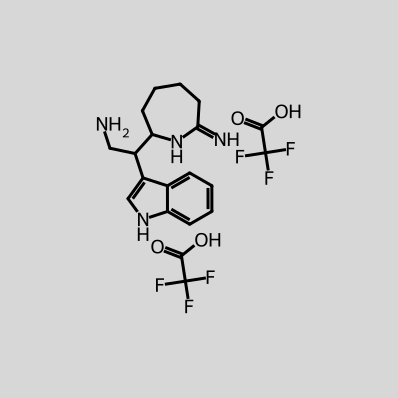 N=C1CCCCC(C(CN)c2c[nH]c3ccccc23)N1.O=C(O)C(F)(F)F.O=C(O)C(F)(F)F